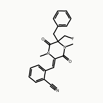 CN1C(=O)C(CF)(Cc2ccccc2)N(C)C(=O)/C1=C/c1ccccc1C#N